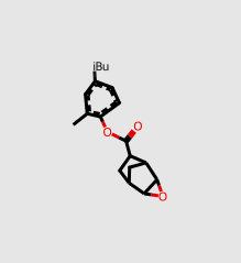 CCC(C)c1ccc(OC(=O)C2CC3CC2C2OC32)c(C)c1